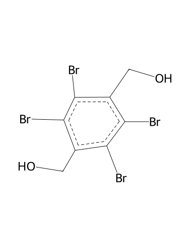 OCc1c(Br)c(Br)c(CO)c(Br)c1Br